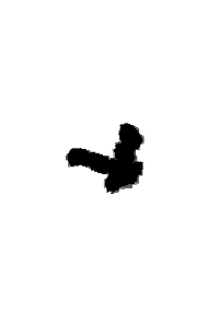 CC1(C)c2ccccc2-c2c1cc1ccccc1c2-c1nc(-c2ccc(-c3ccccc3)cc2)cc(-c2ccc(-c3ccccc3)cc2)n1